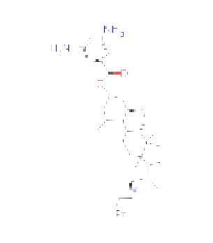 CC(C)C/C=C/C(C)C1CCC2(C)C3=CC=C4CC(OC(=O)c5cc(N)cc(N)c5)CC(C)C4C3CCC12C